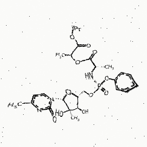 Cc1ccn([C@@H]2O[C@H](CO[P@@](=O)(N[C@@H](C)C(=O)O[C@@H](C)C(=O)OC(C)C)Oc3ccccc3)[C@@H](O)[C@@]2(C)O)c(=O)n1